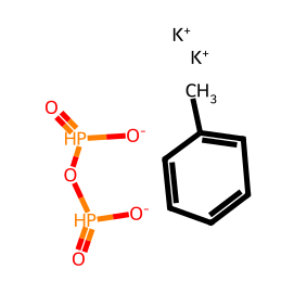 Cc1ccccc1.O=[PH]([O-])O[PH](=O)[O-].[K+].[K+]